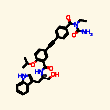 CCN(C(N)=O)C(=O)c1ccc(C#Cc2ccc(OC(C)C)c(C(=O)N[C@@H](CO)Cc3c[nH]c4ccccc34)c2)cc1